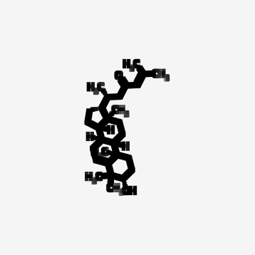 CC(C)=CC(=O)C[C@@H](C)[C@H]1CC[C@H]2[C@@H]3CC=C4C(C)(C)[C@@H](O)CC[C@]4(C)[C@H]3CC[C@]12C